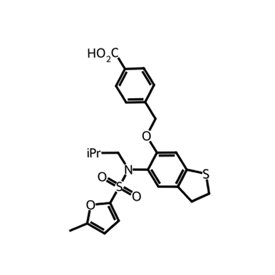 Cc1ccc(S(=O)(=O)N(CC(C)C)c2cc3c(cc2OCc2ccc(C(=O)O)cc2)SCC3)o1